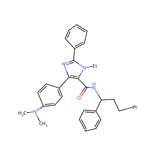 CCn1c(-c2ccccc2)nc(-c2ccc(N(C)C)cc2)c1C(=O)NC(CCC(C)C)c1ccccc1